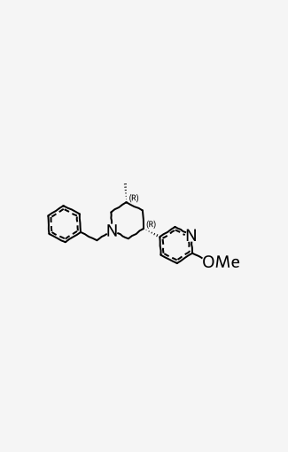 COc1ccc([C@H]2C[C@@H](C)CN(Cc3ccccc3)C2)cn1